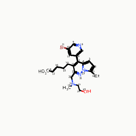 CCc1ccc2c(-c3cncc(Br)c3)c(CCCCC(=O)O)c(CN(C)CCO)nn12